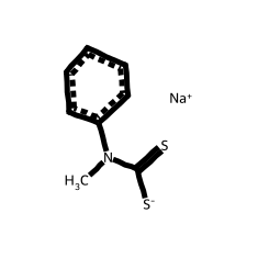 CN(C(=S)[S-])c1ccccc1.[Na+]